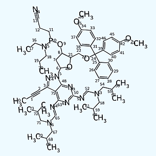 CC#Cc1nn(C2CC(OP(CCC#N)N(CC)CCC)C(COC(c3ccccc3)(c3ccc(OC)cc3)c3ccc(OC)cc3)O2)c2nc(/N=C/N(CC(C)C)CC(C)C)nc(/N=C/N(CC(C)C)CC(C)C)c12